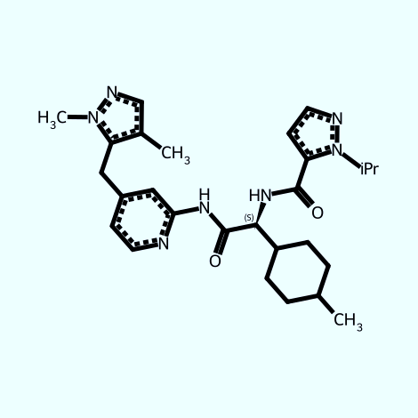 Cc1cnn(C)c1Cc1ccnc(NC(=O)[C@@H](NC(=O)c2ccnn2C(C)C)C2CCC(C)CC2)c1